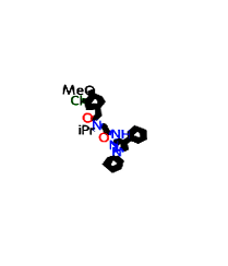 COc1ccc(CC(=O)N(CC(=O)Nc2nn(-c3ccccc3)cc2-c2ccccc2)C(C)C)cc1Cl